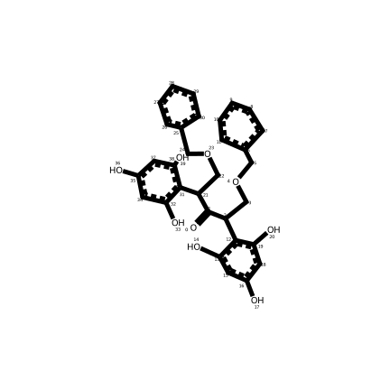 O=C(C(COCc1ccccc1)c1c(O)cc(O)cc1O)C(COCc1ccccc1)c1c(O)cc(O)cc1O